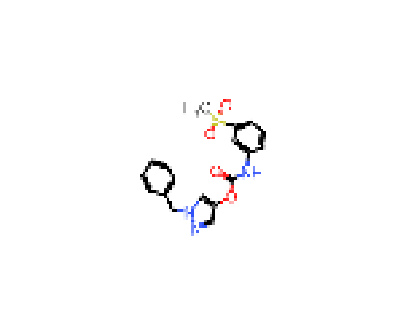 CS(=O)(=O)c1cccc(NC(=O)Oc2cnn(Cc3ccccc3)c2)c1